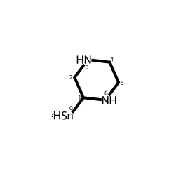 [SnH][CH]1CNCCN1